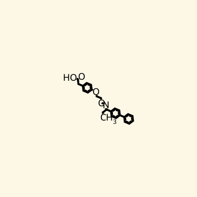 CC/C(=N\OCCOc1ccc(CC(=O)O)cc1)c1ccc(-c2ccccc2)cc1